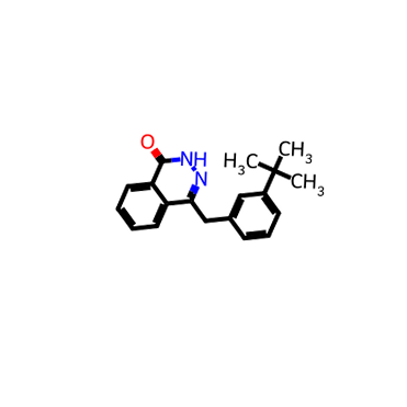 CC(C)(C)c1cccc(Cc2n[nH]c(=O)c3ccccc23)c1